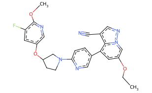 CCOc1cc(-c2ccc(N3CCC(Oc4cnc(OC)c(F)c4)C3)nc2)c2c(C#N)cnn2c1